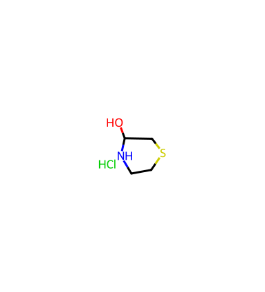 Cl.OC1CSCCN1